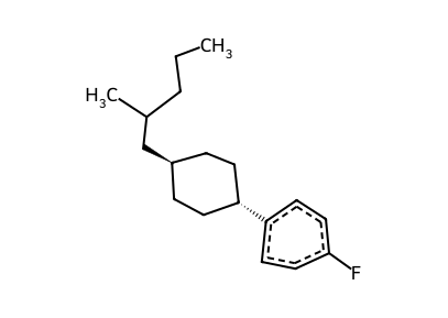 CCCC(C)C[C@H]1CC[C@H](c2ccc(F)cc2)CC1